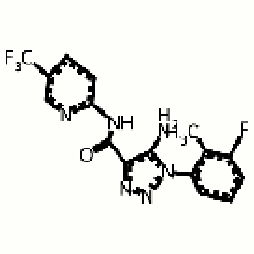 Cc1c(F)cccc1-n1nnc(C(=O)Nc2ccc(C(F)(F)F)cn2)c1N